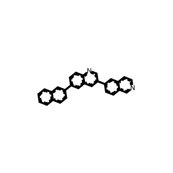 c1ccc2cc(-c3ccc4ncc(-c5ccc6cnccc6c5)cc4c3)ccc2c1